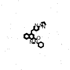 O=c1c2cc(Cc3ccc(-n4cccn4)nc3)c3ccccc3c2ncn1C1CCCCC1